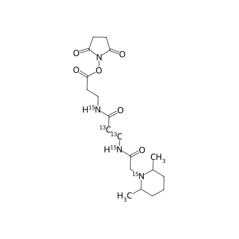 CC1CCCC(C)[15N]1CC(=O)[15NH][13CH2][13CH2]C(=O)[15NH]CCC(=O)ON1C(=O)CCC1=O